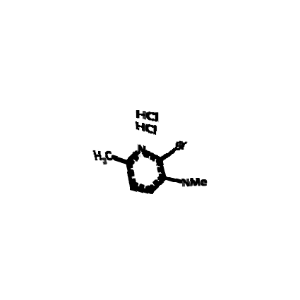 CNc1ccc(C)nc1Br.Cl.Cl